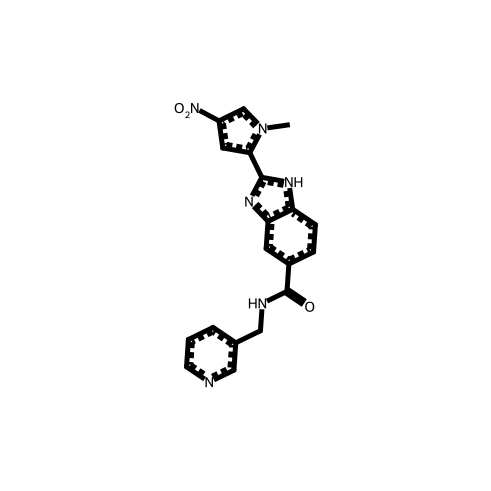 Cn1cc([N+](=O)[O-])cc1-c1nc2cc(C(=O)NCc3cccnc3)ccc2[nH]1